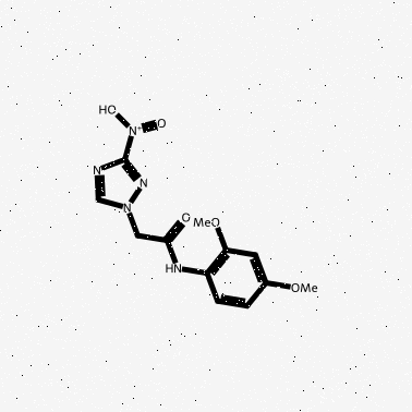 COc1ccc(NC(=O)Cn2cnc([N+](=O)O)n2)c(OC)c1